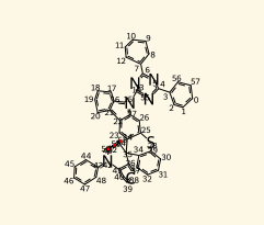 c1ccc(-c2nc(-c3ccccc3)nc(-n3c4ccccc4c4cc5c(cc43)Sc3ccccc3C53c4ccccc4N(c4ccccc4)c4ccccc43)n2)cc1